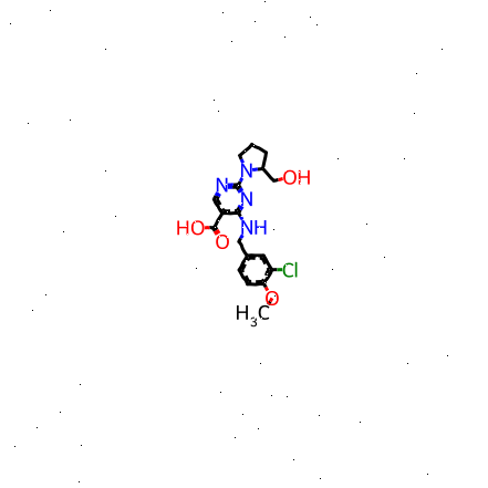 COc1ccc(CNc2nc(N3CCCC3CO)ncc2C(=O)O)cc1Cl